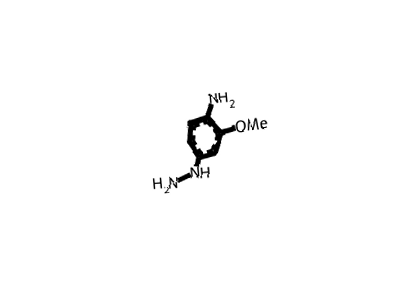 COc1cc(NN)ccc1N